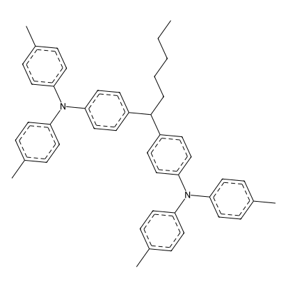 CCCCCC(c1ccc(N(c2ccc(C)cc2)c2ccc(C)cc2)cc1)c1ccc(N(c2ccc(C)cc2)c2ccc(C)cc2)cc1